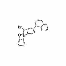 Brc1c2cc(-c3cccc4ccccc34)ccc2n2c1oc1ccccc12